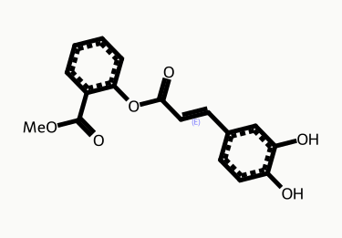 COC(=O)c1ccccc1OC(=O)/C=C/c1ccc(O)c(O)c1